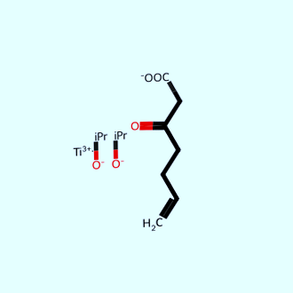 C=CCCC(=O)CC(=O)[O-].CC(C)[O-].CC(C)[O-].[Ti+3]